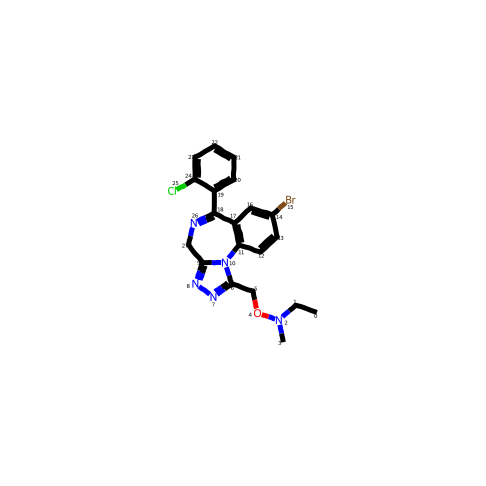 CCN(C)OCc1nnc2n1-c1ccc(Br)cc1C(c1ccccc1Cl)=NC2